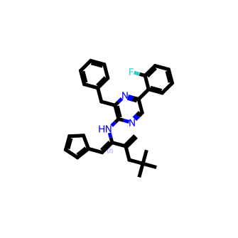 C=C(CC(C)(C)C)/C(=C/C1=CC=CC1)Nc1ncc(-c2ccccc2F)nc1Cc1ccccc1